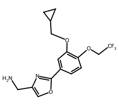 NCc1coc(-c2ccc(OCC(F)(F)F)c(OCC3CC3)c2)n1